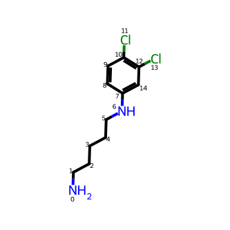 NCCCCCNc1ccc(Cl)c(Cl)c1